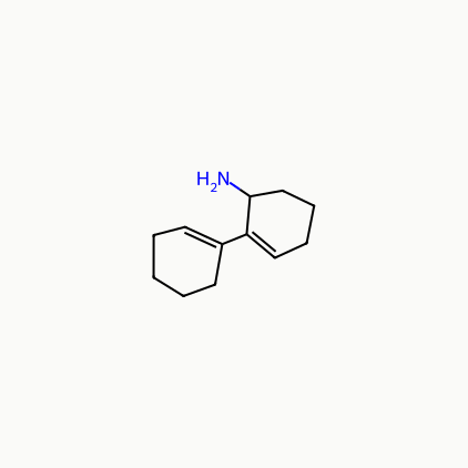 NC1CCCC=C1C1=CCCCC1